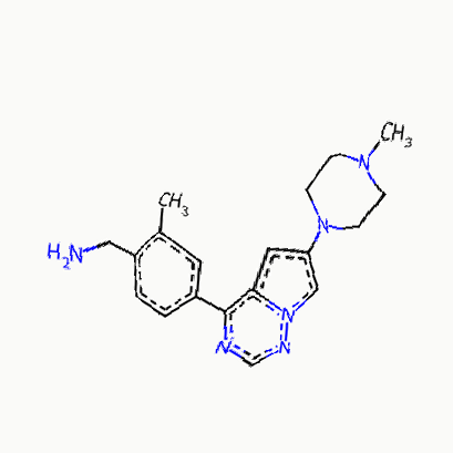 Cc1cc(-c2ncnn3cc(N4CCN(C)CC4)cc23)ccc1CN